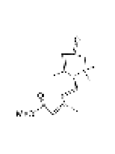 COC(=O)/C=C(C)\C=C\[C@H]1C(C)=CC(=O)CC1(C)C